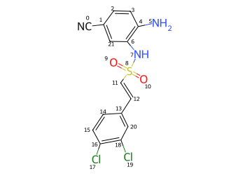 N#Cc1ccc(N)c(NS(=O)(=O)/C=C/c2ccc(Cl)c(Cl)c2)c1